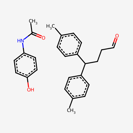 CC(=O)Nc1ccc(O)cc1.Cc1ccc(C(CCC=O)c2ccc(C)cc2)cc1